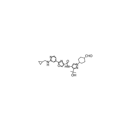 CC(C)(O)c1nn(C2CCC(C=O)CC2)cc1NC(=O)c1coc(-c2ccnc(NCC3CC3)c2)n1